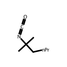 CCCCC(C)(C)N=C=O